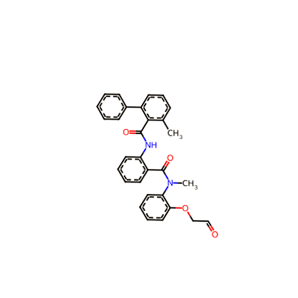 Cc1cccc(-c2ccccc2)c1C(=O)Nc1ccccc1C(=O)N(C)c1ccccc1OCC=O